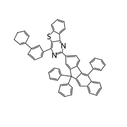 C1=CC(c2cccc(-c3nc(-c4ccc5c(c4)C(c4ccccc4)(c4ccccc4)c4cc6ccccc6c(-c6ccccc6)c4-5)nc4c3sc3ccccc34)c2)=CCC1